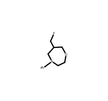 CC(C)N1CCOCC(CF)C1